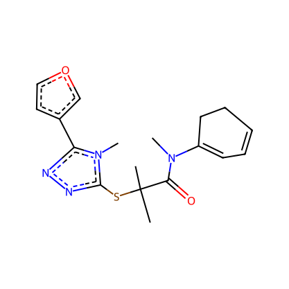 CN(C(=O)C(C)(C)Sc1nnc(-c2ccoc2)n1C)C1=CC=CCC1